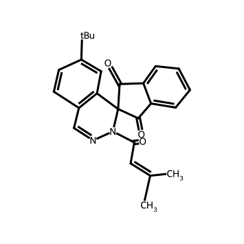 CC(C)=CC(=O)N1N=Cc2ccc(C(C)(C)C)cc2C12C(=O)c1ccccc1C2=O